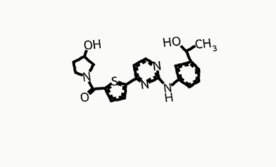 CC(O)c1cccc(Nc2nccc(-c3ccc(C(=O)N4CCC(O)C4)s3)n2)c1